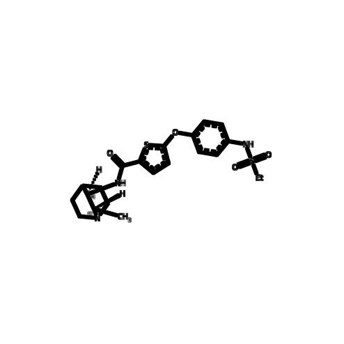 CCS(=O)(=O)Nc1ccc(Oc2ccc(C(=O)N[C@@H]3C4CCN(CC4)[C@H]3C)s2)cc1